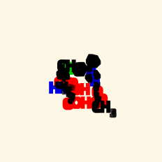 COC(=O)COCCN1CCN(C(c2ccccc2)c2ccc(Cl)cc2)CC1.Cc1ccc(S(=O)(=O)N[C@H](CCC(=O)O)C(=O)O)cc1